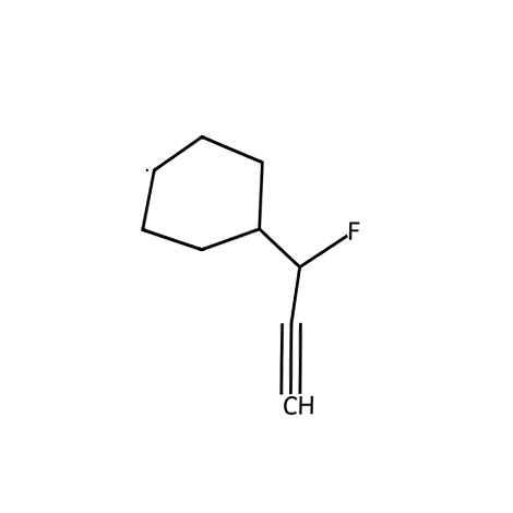 C#CC(F)C1CC[CH]CC1